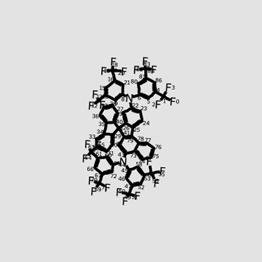 FC(F)(F)c1cc(N(c2cc(C(F)(F)F)cc(C(F)(F)F)c2)c2ccc3c(c2)C2(c4ccccc4-c4ccccc42)c2cc(N(c4cc(C(F)(F)F)cc(C(F)(F)F)c4)c4cc(C(F)(F)F)cc(C(F)(F)F)c4)c4ccccc4c2-3)cc(C(F)(F)F)c1